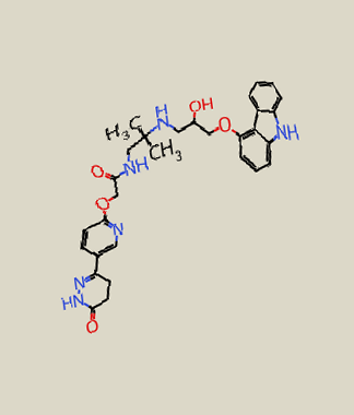 CC(C)(CNC(=O)COc1ccc(C2=NNC(=O)CC2)cn1)NCC(O)COc1cccc2[nH]c3ccccc3c12